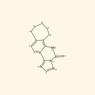 O=c1[nH]c2c3c(ccc2c2ncnn12)CCCCC3